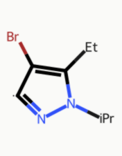 CCc1c(Br)[c]nn1C(C)C